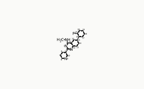 CNc1nc(-c2cccnc2)nc2ccc(-c3ccccc3F)cc12